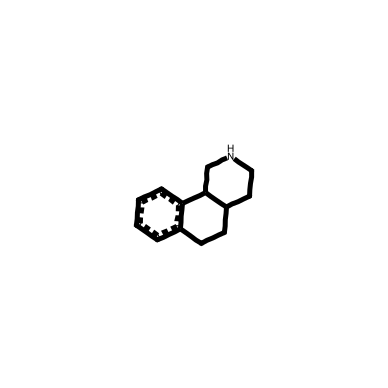 c1ccc2c(c1)CCC1CCNCC21